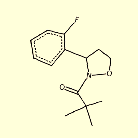 CC(C)(C)C(=O)N1OCCC1c1ccccc1F